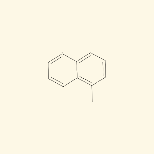 Cc1cccc2[c]cccc12